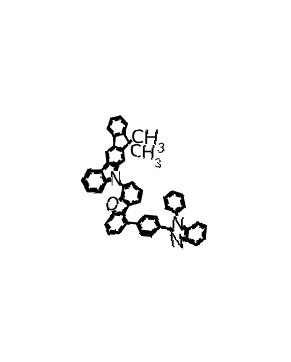 CC1(C)c2ccccc2-c2cc3c4ccccc4n(-c4cccc5c4oc4cccc(-c6c#cc(-c7nc8ccccc8n7-c7ccccc7)cc6)c45)c3cc21